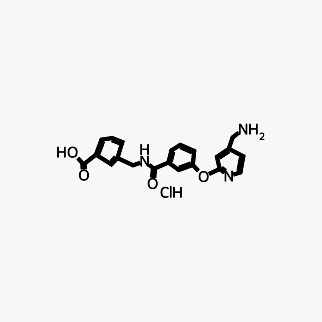 Cl.NCc1ccnc(Oc2cccc(C(=O)NCc3cccc(C(=O)O)c3)c2)c1